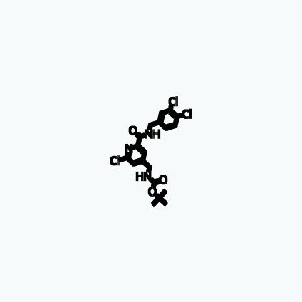 CC(C)(C)OC(=O)NCc1cc(Cl)nc(C(=O)NCc2ccc(Cl)c(Cl)c2)c1